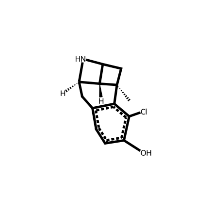 C[C@]12CC3N[C@H](Cc4ccc(O)c(Cl)c41)[C@H]32